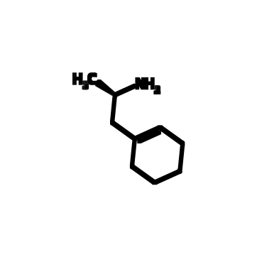 C[C@@H](N)CC1=CCCCC1